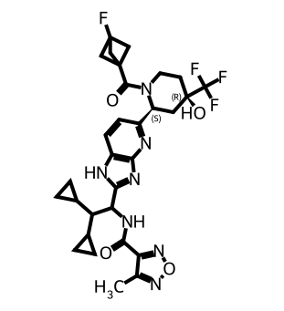 Cc1nonc1C(=O)NC(c1nc2nc([C@@H]3C[C@@](O)(C(F)(F)F)CCN3C(=O)C34CC(F)(C3)C4)ccc2[nH]1)C(C1CC1)C1CC1